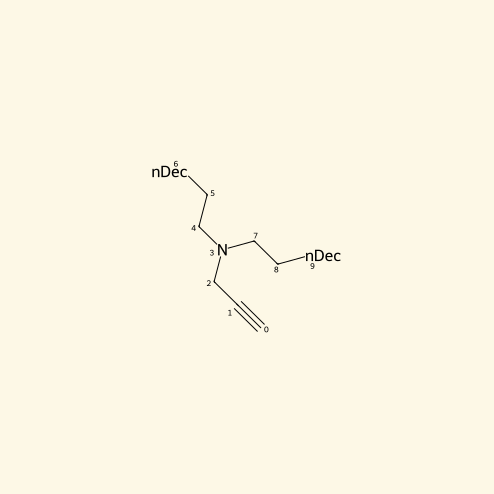 C#CCN(CCCCCCCCCCCC)CCCCCCCCCCCC